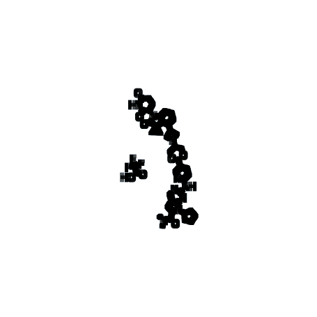 CN(C)C(=O)c1cc2cnc(Nc3ccc(C4OCC(N5CC(c6cccc7c6C6(CC6)C(=O)N7C6CCC(=O)NC6=O)C5)CO4)cn3)nc2n1C1CCCC1.O=C(O)C(F)(F)F